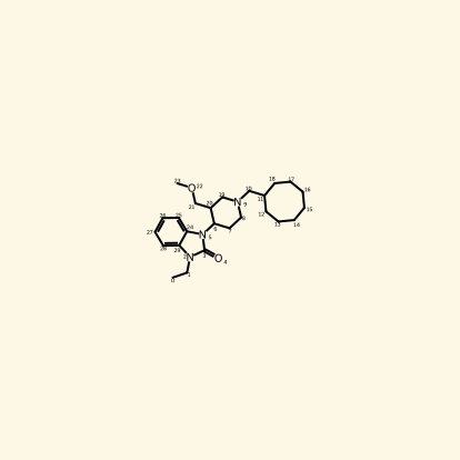 CCn1c(=O)n(C2CCN(CC3CCCCCCC3)CC2COC)c2ccccc21